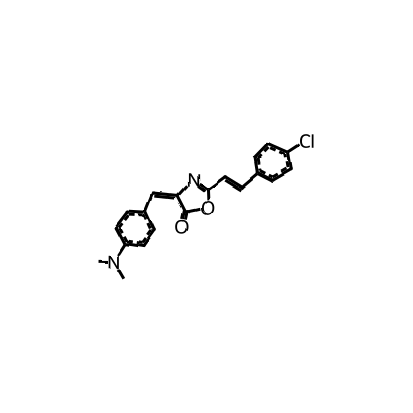 CN(C)c1ccc(C=C2N=C(C=Cc3ccc(Cl)cc3)OC2=O)cc1